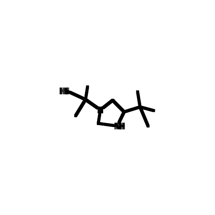 CC(C)(C)C1CN(C(C)(C)S)CN1